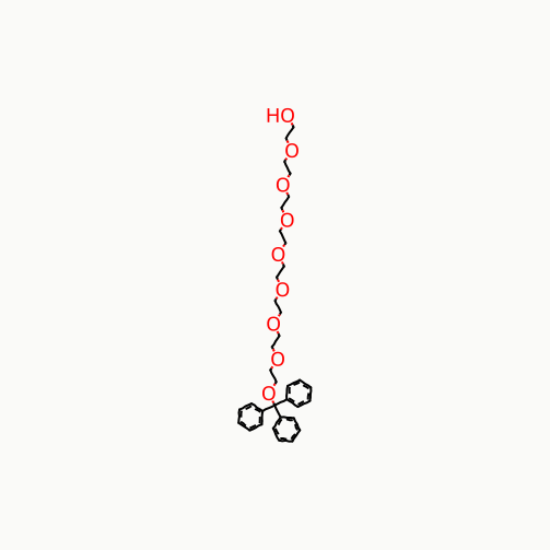 OCCOCCOCCOCCOCCOCCOCCOCCOC(c1ccccc1)(c1ccccc1)c1ccccc1